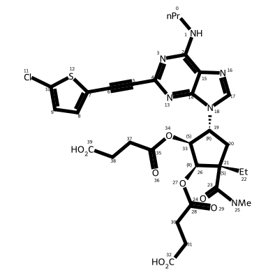 CCCNc1nc(C#Cc2ccc(Cl)s2)nc2c1ncn2[C@@H]1C[C@](CC)(C(=O)NC)[C@@H](OC(=O)CCC(=O)O)[C@H]1OC(=O)CCC(=O)O